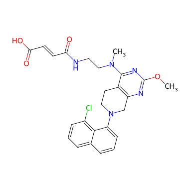 COc1nc2c(c(N(C)CCNC(=O)/C=C/C(=O)O)n1)CCN(c1cccc3cccc(Cl)c13)C2